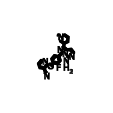 CN1CCCC(c2nc(-c3ccc(Oc4ncccc4C#N)c(F)c3)n3c(N)nccc23)C1